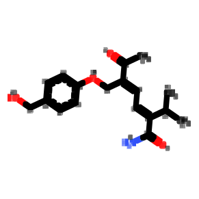 CC(=O)/C(=C/C=C(/C(N)=O)C(C)C)COc1ccc(CO)cc1